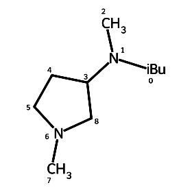 CCC(C)N(C)C1CCN(C)C1